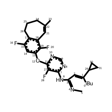 CCC(C)/C(=C\C(=N/C)Nc1ncnc(Oc2cc(F)c3c(c2F)C=C(C)CCC3)c1F)C1CC1